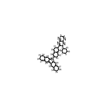 c1ccc(-c2nc3nccnc3nc2-c2ccc3cc(-n4c5cc6ccccc6cc5c5cc6ccccc6cc54)ccc3c2)cc1